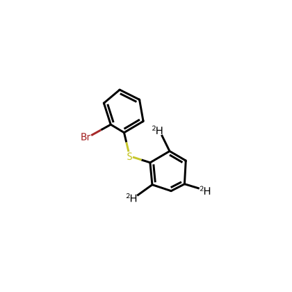 [2H]c1cc([2H])c(Sc2ccccc2Br)c([2H])c1